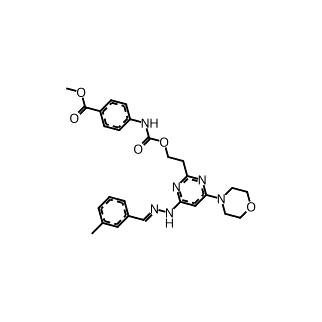 COC(=O)c1ccc(NC(=O)OCCc2nc(N/N=C/c3cccc(C)c3)cc(N3CCOCC3)n2)cc1